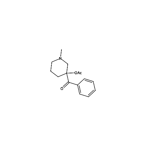 CC(=O)OC1(C(=O)c2ccccc2)CCCN(C)C1